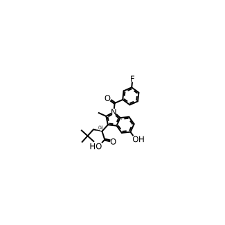 Cc1c([C@H](CC(C)(C)C)C(=O)O)c2cc(O)ccc2n1C(=O)c1cccc(F)c1